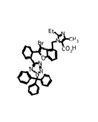 CCc1nc(C)c(C(=O)O)n1Cc1cccc2oc(-c3ccccc3-c3nnn(C(c4ccccc4)(c4ccccc4)c4ccccc4)n3)c(Br)c12